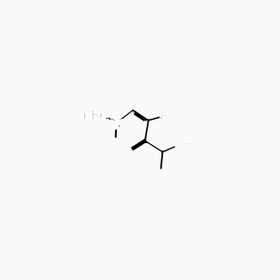 C=C(/C(Br)=C\N(C)CCCC)C(C)O